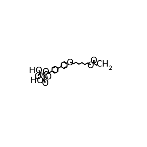 C=CC(=O)OCCCCCCOc1ccc(-c2ccc(C3O[C@@H](C(=O)O)[C@H](C(=O)O)O3)cc2)cc1